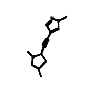 CC1CC(C#Cc2cnn(C)c2)N(C)C1